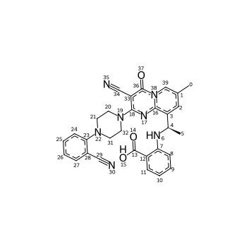 Cc1cc([C@@H](C)Nc2ccccc2C(=O)O)c2nc(N3CCN(c4ccccc4C#N)CC3)c(C#N)c(=O)n2c1